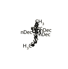 CCCCCCCCCCCCC(CCCCCCCCCC)Cc1c(-c2cc3sc(-c4ccc(-c5ccc(C)s5)s4)cc3s2)c(=O)c2c(CC(CCCCCCCCCC)CCCCCCCCCCCC)c(-c3cc4sc(C)cc4s3)c(=O)c1=2